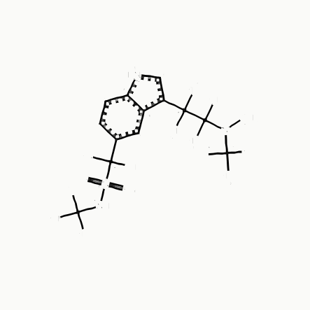 [2H]C([2H])([2H])NS(=O)(=O)C([2H])([2H])c1ccc2[nH]cc(C([2H])([2H])C([2H])([2H])N(C)C([2H])([2H])[2H])c2c1